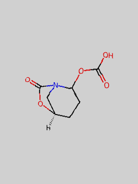 O=C(O)OC1CC[C@@H]2CN1C(=O)O2